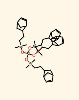 C[Si](C)(CCC1CC2C=CC1C2)O[Si](O[Si](C)(C)CCC1CC2C=CC1C2)(O[Si](C)(C)CCC1CC2C=CC1C2)O[Si](C)(C)CCC1CC2C=CC1C2